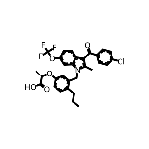 CCCc1ccc(O[C@H](C)C(=O)O)cc1Cn1c(C)c(C(=O)c2ccc(Cl)cc2)c2ccc(OC(F)(F)F)cc21